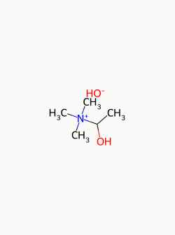 CC(O)[N+](C)(C)C.[OH-]